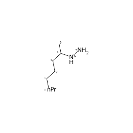 CCCCCCC(C)NN